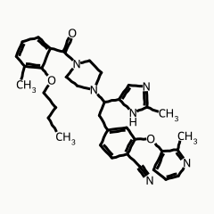 CCCCOc1c(C)cccc1C(=O)N1CCN(C(Cc2ccc(C#N)c(Oc3cccnc3C)c2)c2cnc(C)[nH]2)CC1